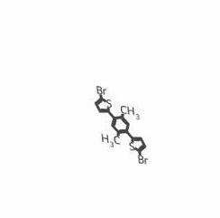 Cc1cc(-c2ccc(Br)s2)c(C)cc1-c1ccc(Br)s1